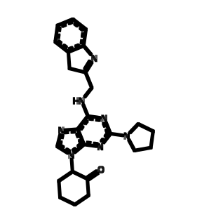 O=C1CCCCC1n1cnc2c(NCC3=Nc4ccccc4C3)nc(N3CCCC3)nc21